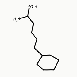 NC(CCCCC1CCCCC1)S(=O)(=O)O